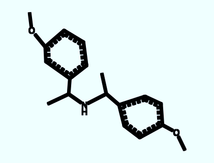 COc1ccc(C(C)NC(C)c2cccc(OC)c2)cc1